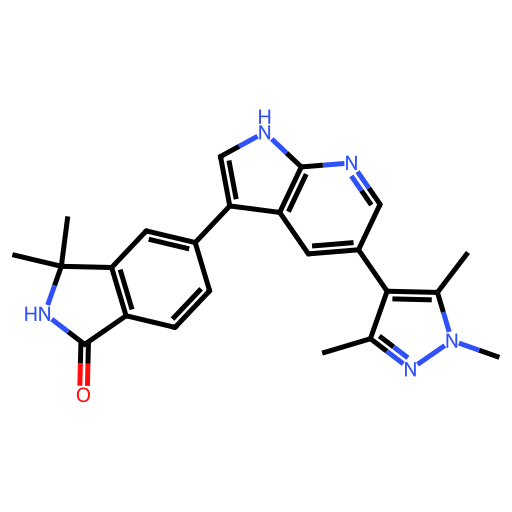 Cc1nn(C)c(C)c1-c1cnc2[nH]cc(-c3ccc4c(c3)C(C)(C)NC4=O)c2c1